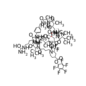 CC[C@H](C)[C@@H]([C@@H](CC(=O)N1CCC[C@H]1[C@H](OC)[C@@H](C)C(=O)N[C@@H](C)C(=O)NCc1ccc(NC(=O)[C@H](CCCNC(N)O)NC(=O)[C@@H](NC(=O)CCCN2CCC(C(=O)Oc3c(F)c(F)c(F)c(F)c3F)CC2C(F)(F)F)C(C)C)cc1)OC)N(C)C(=O)[C@@H](NC(=O)[C@H](C(C)C)N(C)C)C(C)C